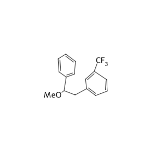 COC(Cc1cccc(C(F)(F)F)c1)c1ccccc1